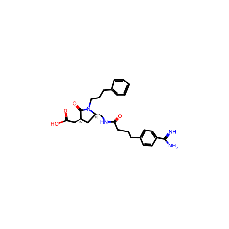 N=C(N)c1ccc(CCCC(=O)NC[C@@H]2C[C@@H](CC(=O)O)C(=O)N2CCCc2ccccc2)cc1